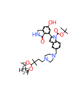 C[SiH2]OC(O[SiH2]C)C(C)(C)CCN1CCN(Cc2ccc3c(c2)cc(-c2cc(O)cc4c2C(=O)NC4)n3C(=O)OC(C)(C)C)CC1